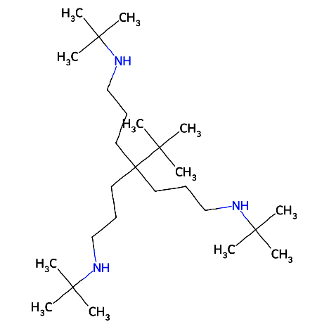 CC(C)(C)NCCCC(CCCNC(C)(C)C)(CCCNC(C)(C)C)C(C)(C)C